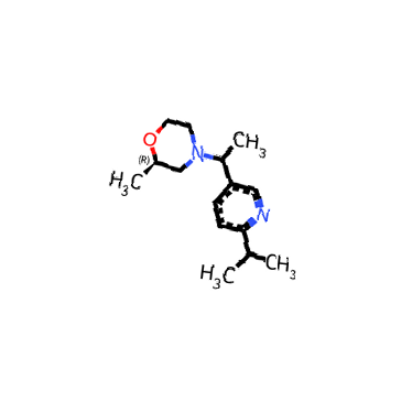 CC(C)c1ccc(C(C)N2CCO[C@H](C)C2)cn1